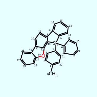 Cc1ccc([Si]2(c3ccccc3)c3ccccc3-c3ccc4c(oc5ccccc54)c32)cc1